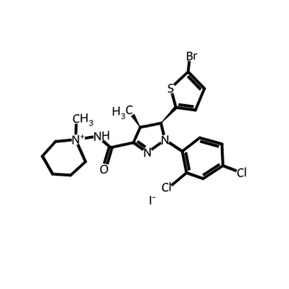 C[C@@H]1C(C(=O)N[N+]2(C)CCCCC2)=NN(c2ccc(Cl)cc2Cl)[C@@H]1c1ccc(Br)s1.[I-]